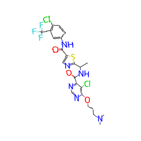 CC(NC(=O)c1ncnc(OCCCN(C)C)c1Cl)c1ncc(C(=O)Nc2ccc(Cl)c(C(F)(F)F)c2)s1